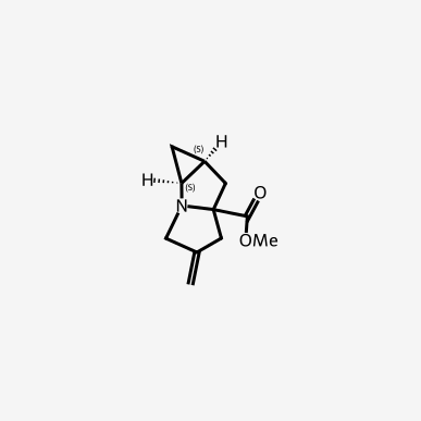 C=C1CN2[C@H]3C[C@H]3CC2(C(=O)OC)C1